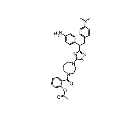 CC(=O)Oc1ccccc1C(=O)N1CCCN(c2nc(C(Cc3ccc(N(C)C)cc3)c3ccc(N)cc3)ns2)CC1